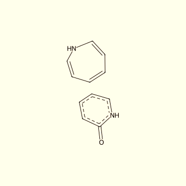 C1=CC=CNC=C1.O=c1cccc[nH]1